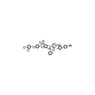 N#Cc1ccc(-c2ccc(C[C@H](NC(=O)C3Cc4cc5c(cc4CN3Cc3ccccn3)O[C@@H](c3ccc(OCc4ccc(Cl)c(Cl)c4)cc3)C(=O)N5)C(=O)O)cc2)cc1